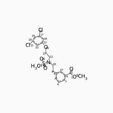 COC(=O)c1cccc(CCN(CCOc2cc(Cl)cc(Cl)c2)S(C)(=O)=O)c1